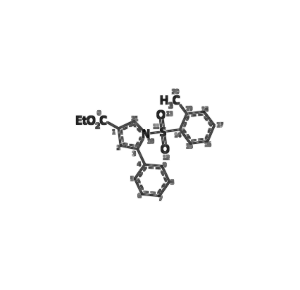 CCOC(=O)c1cc(-c2ccccc2)n(S(=O)(=O)c2ccccc2C)c1